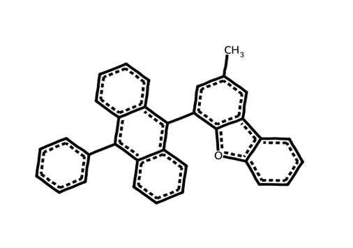 Cc1cc(-c2c3ccccc3c(-c3ccccc3)c3ccccc23)c2oc3ccccc3c2c1